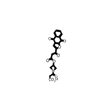 O=C(O)CC(=O)N1CC(OC(=O)CC(=O)c2cc3c(o2)C(=O)c2ccccc2C3=O)C1